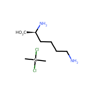 C[Si](C)(Cl)Cl.NCCCC[C@H](N)C(=O)O